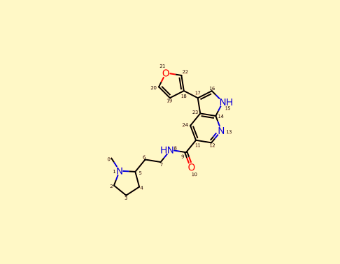 CN1CCCC1CCNC(=O)c1cnc2[nH]cc(-c3ccoc3)c2c1